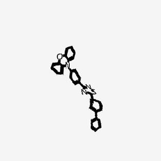 c1ccc(-c2ccc(-c3nc(-c4ccc(N5c6ccccc6Oc6ccccc65)cc4)ns3)cc2)cc1